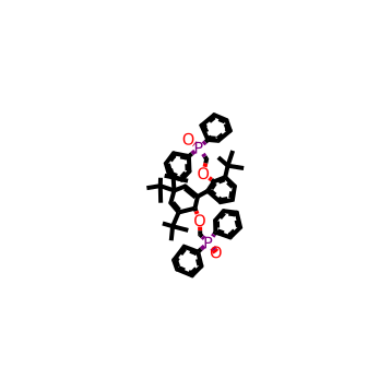 CC(C)(C)C1=CC(C(C)(C)C)(C(C)(C)C)C=C(c2cccc(C(C)(C)C)c2OCP(=O)(c2ccccc2)c2ccccc2)C1OCP(=O)(c1ccccc1)c1ccccc1